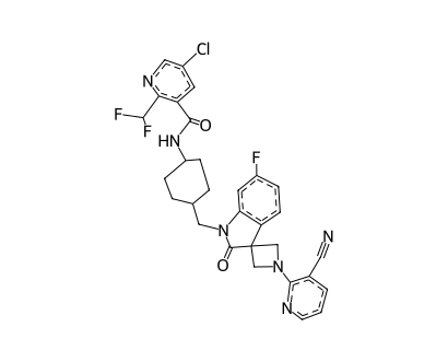 N#Cc1cccnc1N1CC2(C1)C(=O)N(CC1CCC(NC(=O)c3cc(Cl)cnc3C(F)F)CC1)c1cc(F)ccc12